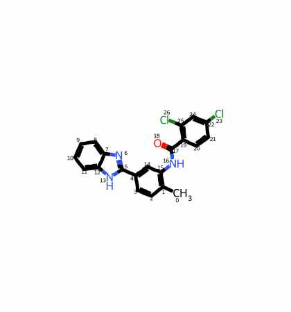 Cc1ccc(-c2nc3ccccc3[nH]2)cc1NC(=O)c1ccc(Cl)cc1Cl